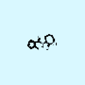 Cc1ccccc1C(=O)NC1CCCCNC1=O